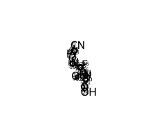 N#Cc1ccc(COc2cccc(-c3ccc(Cc4nc5ccc(COCO)cc5n4CC4CCO4)c(F)c3)n2)c(F)c1